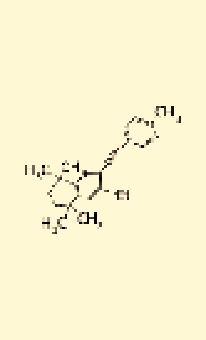 CCc1cc2c(cc1C#Cc1ccc(C)cc1)C(C)(C)CCC2(C)C